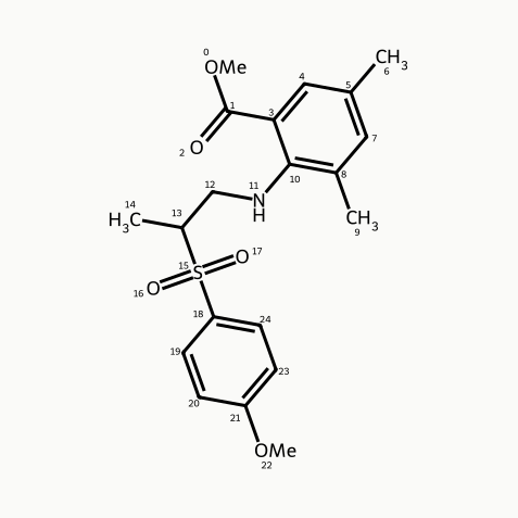 COC(=O)c1cc(C)cc(C)c1NCC(C)S(=O)(=O)c1ccc(OC)cc1